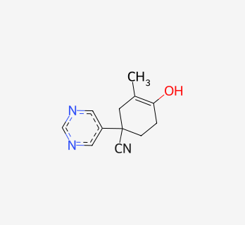 CC1=C(O)CCC(C#N)(c2cncnc2)C1